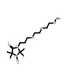 CC(C)(C)OCCOCCOCCCN1C(=O)C(C)(C)N(Cl)C1(C)C